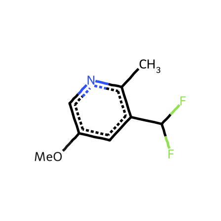 COc1cnc(C)c(C(F)F)c1